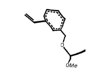 C=Cc1cccc(COC(C)OC)c1